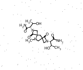 C[C@@H](O)[C@@H](C(N)=O)N1CC2(CN(C)[C@@]3(CN([C@H](C(N)=O)[C@@H](C)O)C3=O)C2)C1=O